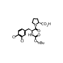 CCCCOC(=O)N[C@@H](Cc1ccc(Cl)c(Cl)c1)C(=O)N1CCC[C@H]1C(=O)O